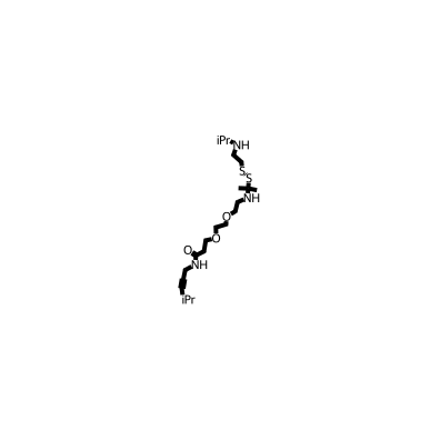 CC(C)C#CCNC(=O)CCOCCOCCNC(C)(C)SSCCNC(C)C